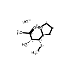 CS[C@@H]([C@@H]1CCCN1)[C@H](C)C(=O)O.Cl